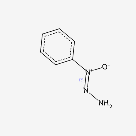 N/N=[N+](\[O-])c1ccccc1